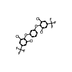 FC(F)(F)c1cc(Cl)c(Oc2cccc(Oc3c(Cl)cc(C(F)(F)F)cc3Cl)c2)c(Cl)c1